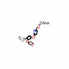 COCCOCc1ccc(Oc2ccc([N+](=O)[O-])c(OC3CCOCC3)c2)cn1